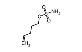 C=CCCCOS(N)(=O)=O